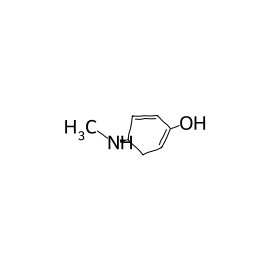 CN[C@H]1C=CC(O)=CC1